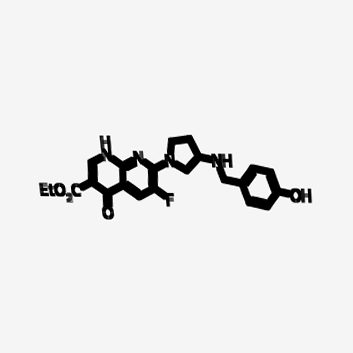 CCOC(=O)c1c[nH]c2nc(N3CCC(NCc4ccc(O)cc4)C3)c(F)cc2c1=O